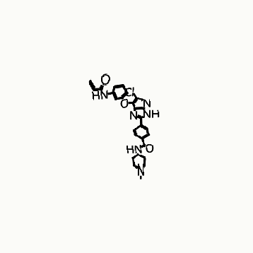 C=CC(=O)Nc1cccc(Oc2c(Cl)cnc3[nH]c(-c4ccc(C(=O)NC5CCN(C)CC5)cc4)nc23)c1